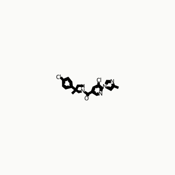 CCC(C)(CNC(=O)c1cnc(-n2cnc(C)c2)c(Cl)c1)c1ccc(Cl)cc1